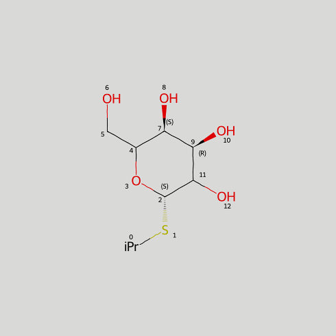 CC(C)S[C@@H]1OC(CO)[C@@H](O)[C@@H](O)C1O